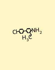 CCc1cc(-c2ccc(Cl)cc2)ccc1N